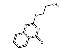 CCCSc1nc2ccccc2c(=O)o1